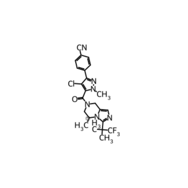 C[C@H]1CN(C(=O)c2c(Cl)c(-c3ccc(C#N)cc3)nn2C)Cc2cnc(C(C)(C)C(F)(F)F)n21